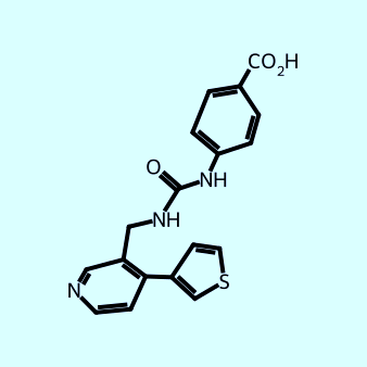 O=C(NCc1cnccc1-c1ccsc1)Nc1ccc(C(=O)O)cc1